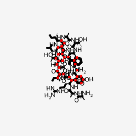 CC[C@H](C)[C@H](NC(=O)[C@H](CC(C)C)NC(=O)[C@H](Cc1c[nH]c2ccccc12)NC(=O)[C@H](C)NC(=O)[C@@H](NC(=O)[C@H](Cc1ccccc1)NC(=O)[C@H](CC(=O)O)NC(=O)[C@H](CCCNC(=N)N)NC(=O)[C@H](C)NC(=O)[C@H](C)N)[C@@H](C)CC)C(=O)N[C@@H](C)C(=O)N[C@H](C(=O)N[C@@H](CCCCN)C(=O)N[C@H](C(=O)N[C@H](C(=O)N[C@@H](CC(=O)O)C(=O)O)[C@@H](C)O)[C@@H](C)CC)[C@@H](C)O